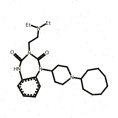 CCN(CC)CCN1C(=O)Nc2ccccc2N(C2CCN(C3CCCCCCC3)CC2)C1=O